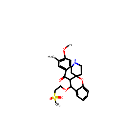 COc1cc(C(=O)C2C(OCCS(C)(=O)=O)c3ccccc3OC23CCNCC3)ccc1OC(C)C